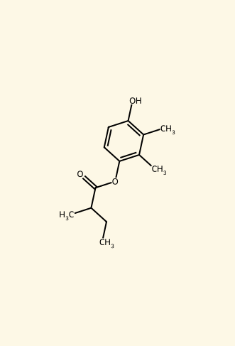 CCC(C)C(=O)Oc1ccc(O)c(C)c1C